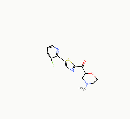 O=C(c1ncc(-c2ncccc2F)s1)C1CN(C(=O)O)CCO1